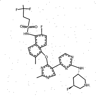 Cc1ncc(-c2ccnc(N[C@@H]3CNC[C@@H](F)C3)n2)c(Oc2c(C)ccc3c(NS(=O)(=O)CCC(C)(F)F)c(F)ccc23)n1